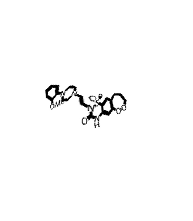 COc1ccccc1N1CCN(CCN2C(=O)Nc3cc4c(cc3S2(=O)=O)CCCOO4)CC1